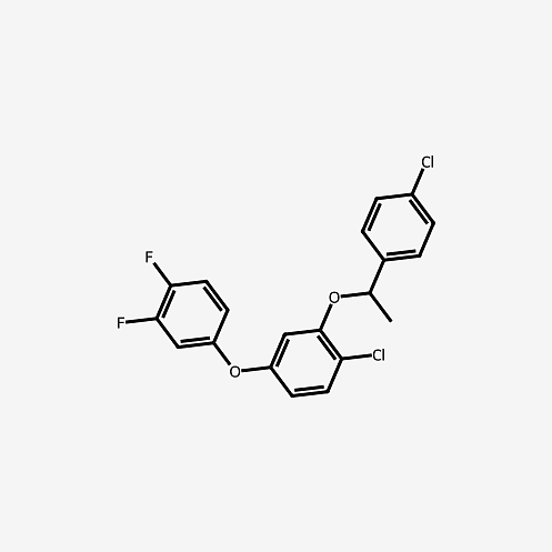 CC(Oc1cc(Oc2ccc(F)c(F)c2)ccc1Cl)c1ccc(Cl)cc1